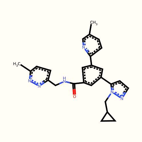 Cc1ccc(-c2cc(C(=O)NCc3ccc(C)nn3)cc(-c3ccnn3CC3CC3)c2)nc1